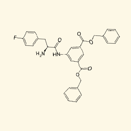 N[C@@H](Cc1ccc(F)cc1)C(=O)Nc1cc(C(=O)OCc2ccccc2)cc(C(=O)OCc2ccccc2)c1